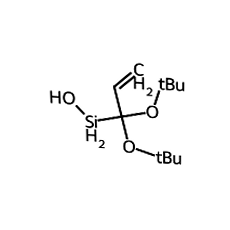 C=CC(OC(C)(C)C)(OC(C)(C)C)[SiH2]O